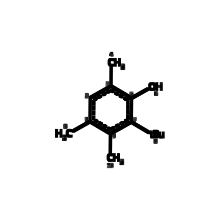 Cc1cc(C)c(O)c(C(C)(C)C)c1C